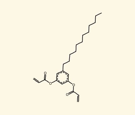 C=CC(=O)Oc1cc(CCCCCCCCCCCC)cc(OC(=O)C=C)c1